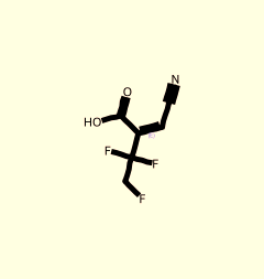 N#C/C=C(\C(=O)O)C(F)(F)CF